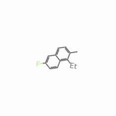 CCc1c(C)ccc2cc(F)ccc12